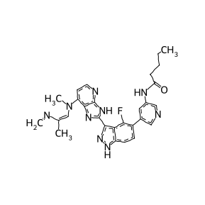 C=N/C(C)=C\N(C)c1ccnc2[nH]c(-c3n[nH]c4ccc(-c5cncc(NC(=O)CCCC)c5)c(F)c34)nc12